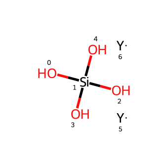 O[Si](O)(O)O.[Y].[Y]